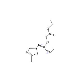 C/C=C\C(=N/c1cnc(C)s1)OCC(=O)OCC